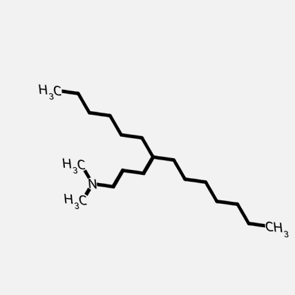 CCCCCCCC(CCCCCC)CCCN(C)C